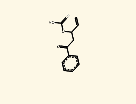 C=CC(CC(=O)c1ccccc1)OC(=O)O